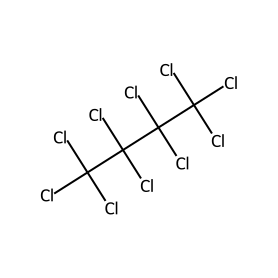 ClC(Cl)(Cl)C(Cl)(Cl)C(Cl)(Cl)C(Cl)(Cl)Cl